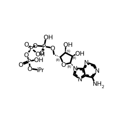 CC(C)OP(=O)(O)OP(=O)(O)OP(=O)(O)OC[C@H]1O[C@@H](n2cnc3c(N)ncnc32)[C@H](O)[C@@H]1O